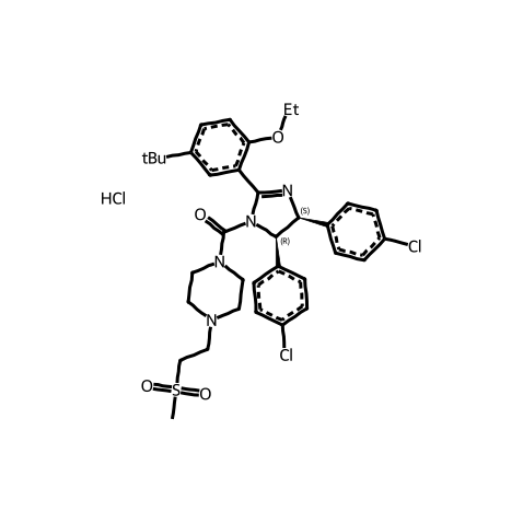 CCOc1ccc(C(C)(C)C)cc1C1=N[C@@H](c2ccc(Cl)cc2)[C@@H](c2ccc(Cl)cc2)N1C(=O)N1CCN(CCS(C)(=O)=O)CC1.Cl